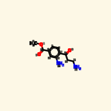 COC(=O)c1ccc(C(=O)CCN)c(N)c1